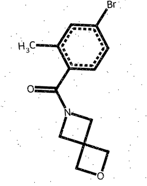 Cc1cc(Br)ccc1C(=O)N1CC2(COC2)C1